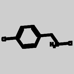 Cl[SiH2]Cc1ccc(Cl)cc1